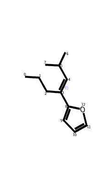 CCC/C(=C\C(C)C)c1ccco1